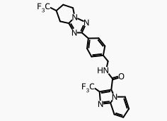 O=C(NCc1ccc(-c2nc3n(n2)CCC(C(F)(F)F)C3)cc1)c1c(C(F)(F)F)nc2ccccn12